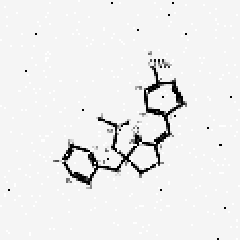 COc1ccc(C=C2CCC(Cc3ccccc3)(CN(C)C)C2=O)cc1